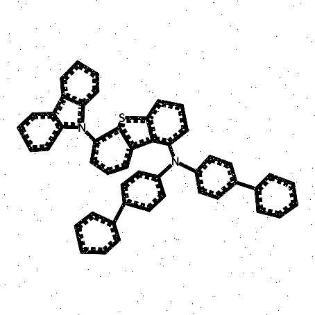 c1ccc(-c2ccc(N(c3ccc(-c4ccccc4)cc3)c3cccc4sc5c(-n6c7ccccc7c7ccccc76)cccc5c34)cc2)cc1